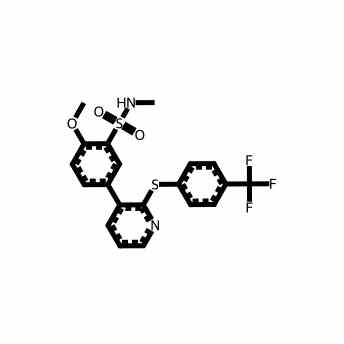 CNS(=O)(=O)c1cc(-c2cccnc2Sc2ccc(C(F)(F)F)cc2)ccc1OC